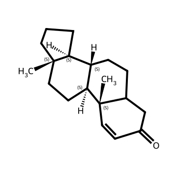 C[C@@]12CCC[C@H]1[C@@H]1CCC3CC(=O)C=C[C@]3(C)[C@H]1CC2